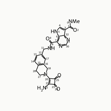 CNC(=O)c1c[nH]c2c(C(=O)NCc3ccc4c(c3)CN(c3c(N)c(=O)c3=O)CC4)ncnc12